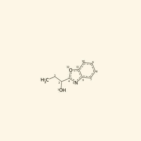 CCC(O)c1nc2ccccc2o1